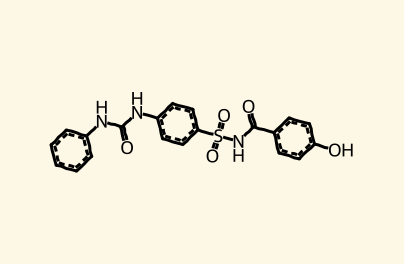 O=C(Nc1ccccc1)Nc1ccc(S(=O)(=O)NC(=O)c2ccc(O)cc2)cc1